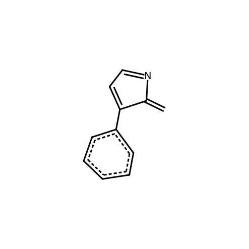 C=C1N=CC=C1c1ccccc1